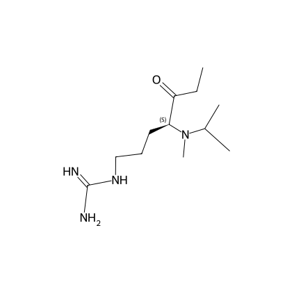 CCC(=O)[C@H](CCCNC(=N)N)N(C)C(C)C